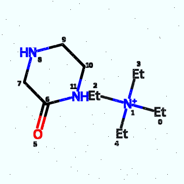 CC[N+](CC)(CC)CC.O=C1CNCCN1